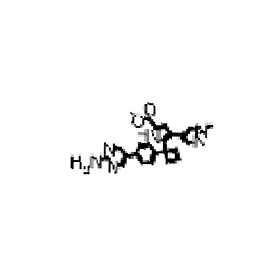 COC(=O)c1cc(-c2cnn(C)c2)c(C2(c3ccc(-c4cnc(N)nc4)cc3)CCC2)[nH]1